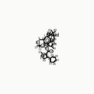 CC1=C[C@]23C(=O)[C@@H](C=C4COC(C)(C)O[C@H]4C2(O)[C@H]1OC(=O)c1c(-c2ccccc2)cnn1C)[C@H]1[C@@H](C[C@H]3C)C1(C)C